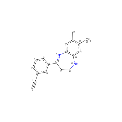 C#Cc1cccc(C2=Nc3cc(C)c(C(F)(F)F)cc3NCC2)c1